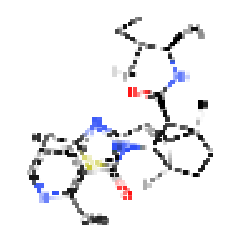 COc1ncccc1C(=O)N[C@H]1[C@@H](C(=O)N[C@H](C)C2(C)CC2)[C@H]2CC[C@@H]1/C2=C\c1csc(C)n1